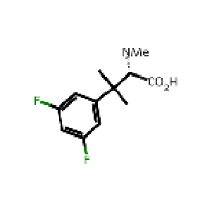 CN[C@H](C(=O)O)C(C)(C)c1cc(F)cc(F)c1